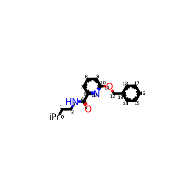 CC(C)CCNC(=O)c1cccc(OCc2ccccc2)n1